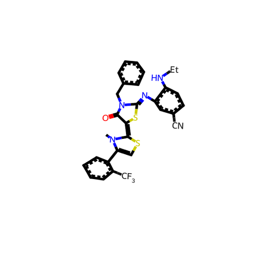 CCNc1ccc(C#N)cc1N=C1SC(=C2SC=C(c3ccccc3C(F)(F)F)N2C)C(=O)N1Cc1ccccc1